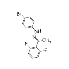 C/C(=N\Nc1ccc(Br)cc1)c1c(F)cccc1F